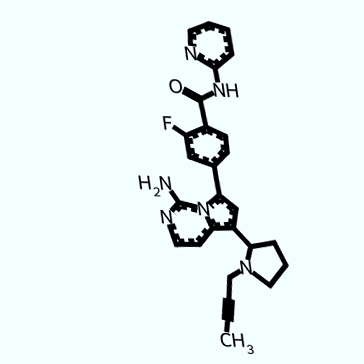 CC#CCN1CCCC1c1cc(-c2ccc(C(=O)Nc3ccccn3)c(F)c2)n2c(N)nccc12